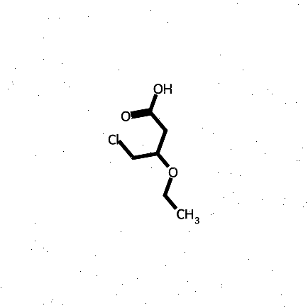 CCOC(CCl)CC(=O)O